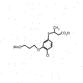 COCCCOc1cc(SC(C)CC(=O)O)ccc1Cl